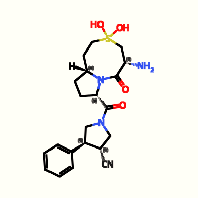 N#C[C@H]1CN(C(=O)[C@@H]2CC[C@@H]3CCS(O)(O)C[C@H](N)C(=O)N32)C[C@@H]1c1ccccc1